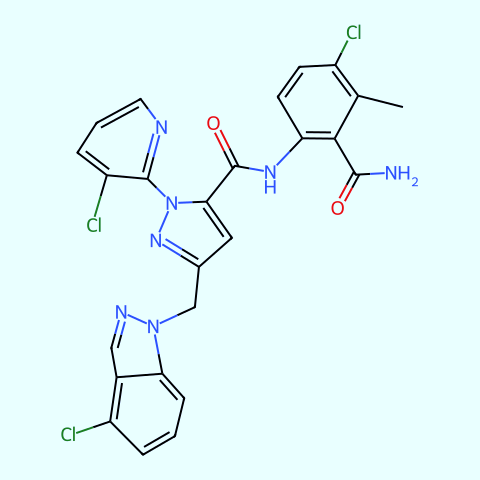 Cc1c(Cl)ccc(NC(=O)c2cc(Cn3ncc4c(Cl)cccc43)nn2-c2ncccc2Cl)c1C(N)=O